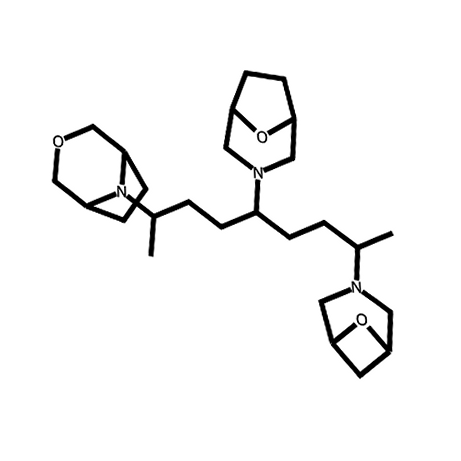 CC(CCC(CCC(C)N1C2CCC1COC2)N1CC2CCC(C1)O2)N1CC2CC(C1)O2